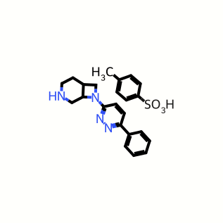 Cc1ccc(S(=O)(=O)O)cc1.c1ccc(-c2ccc(N3CC4CCNCC43)nn2)cc1